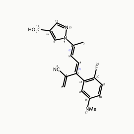 C=C(C#N)/C(=C\C=C(/C)n1cc(C(=O)O)cn1)c1cc(NC)ccc1F